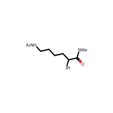 CNC(=O)C(CCCCNC(C)=O)C(C)C